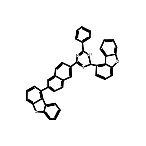 c1ccc(C2=NC(c3ccc4cc(-c5cccc6oc7ccccc7c56)ccc4c3)=NC(c3cccc4oc5ccccc5c34)N2)cc1